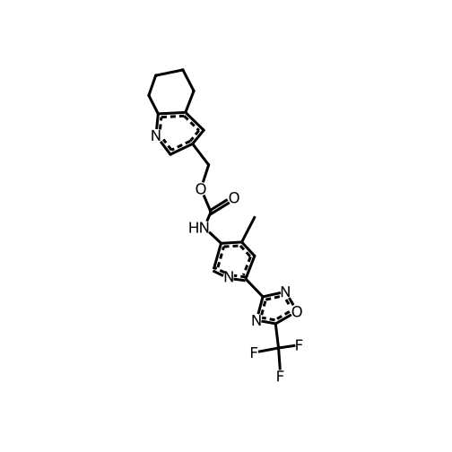 Cc1cc(-c2noc(C(F)(F)F)n2)ncc1NC(=O)OCc1cnc2c(c1)CCCC2